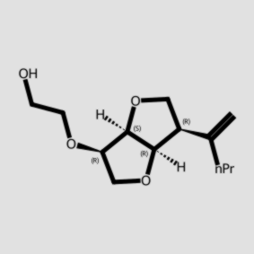 C=C(CCC)[C@@H]1CO[C@H]2[C@@H]1OC[C@H]2OCCO